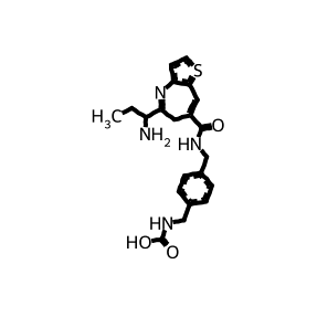 CCC(N)C1=Nc2ccsc2C=C(C(=O)NCc2ccc(CNC(=O)O)cc2)C1